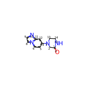 O=C1CN(c2ccn3ccnc3c2)CCN1